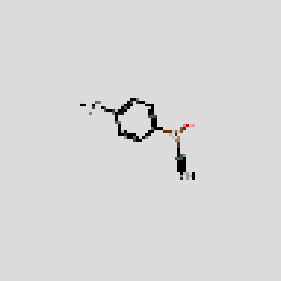 C#C[S+]([O-])c1ccc(C)cc1